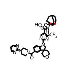 O=C(NC1(C(=O)O)C2CCC3CC(C2)CC1C3)c1cnc(N2CC3(CCOCC3)c3cc(C(=O)N4CCN(c5ncccn5)CC4)ccc32)nc1C(F)(F)F